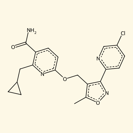 Cc1onc(-c2ccc(Cl)cn2)c1COc1ccc(C(N)=O)c(CC2CC2)n1